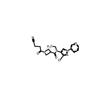 CCN(C(=O)C1CN(C(=O)CCC#N)C1)c1cn(-c2cccnc2)nc1Cl